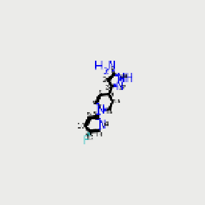 Nc1cc(C2CCN(c3ccc(F)cn3)CC2)n[nH]1